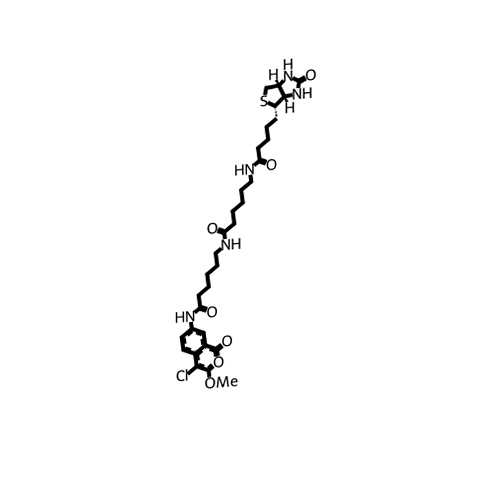 COc1oc(=O)c2cc(NC(=O)CCCCCNC(=O)CCCCCNC(=O)CCCC[C@@H]3SC[C@@H]4NC(=O)N[C@@H]43)ccc2c1Cl